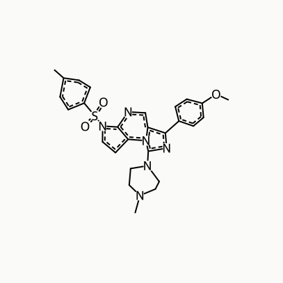 COc1ccc(-c2nc(N3CCN(C)CC3)n3c2cnc2c3ccn2S(=O)(=O)c2ccc(C)cc2)cc1